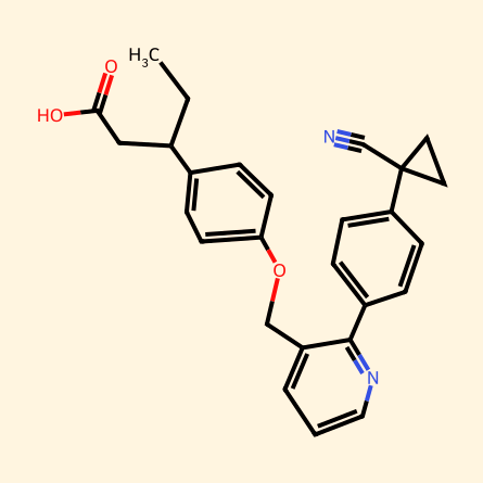 CCC(CC(=O)O)c1ccc(OCc2cccnc2-c2ccc(C3(C#N)CC3)cc2)cc1